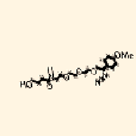 COc1ccc(C(COCCOCCOCCNC(=O)CCCO)N=[N+]=[N-])cc1